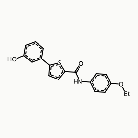 CCOc1ccc(NC(=O)c2ccc(-c3cccc(O)c3)s2)cc1